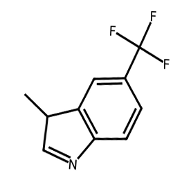 CC1C=Nc2ccc(C(F)(F)F)cc21